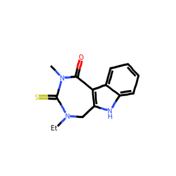 CCN1Cc2[nH]c3ccccc3c2C(=O)N(C)C1=S